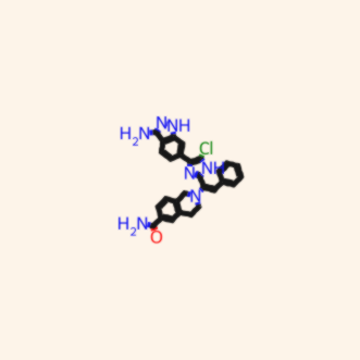 NC(=O)c1ccc2c(c1)CCN(C(=Cc1ccccc1)c1nc(-c3ccc4c(N)n[nH]c4c3)c(Cl)[nH]1)C2